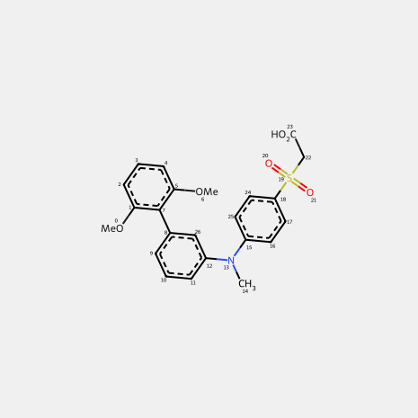 COc1cccc(OC)c1-c1cccc(N(C)c2ccc(S(=O)(=O)CC(=O)O)cc2)c1